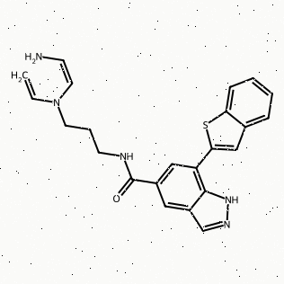 C=CN(/C=C\N)CCCNC(=O)c1cc(-c2cc3ccccc3s2)c2[nH]ncc2c1